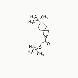 CC(C)(C)OCC(=O)N1CCC2(CCC(C(C)(C)C)CC2)C1